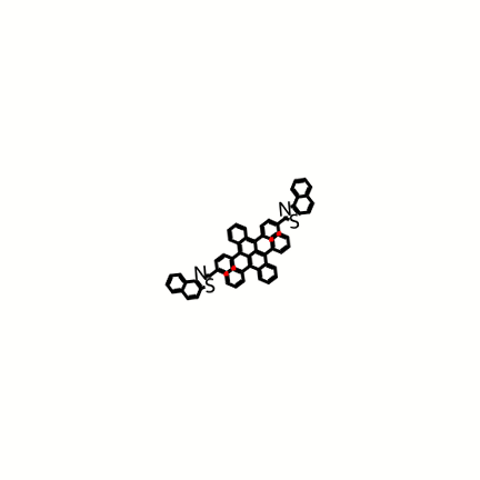 c1ccc(-c2c3ccccc3c(-c3ccccc3)c3c(-c4ccc(-c5nc6c(ccc7ccccc76)s5)cc4)c4ccccc4c(-c4ccc(-c5nc6c(ccc7ccccc76)s5)cc4)c23)cc1